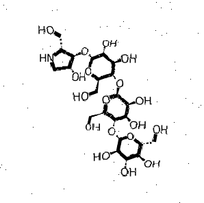 OC[C@H]1NC[C@@H](O)[C@@H]1O[C@H]1O[C@H](CO)[C@@H](O[C@@H]2O[C@H](CO)[C@@H](O[C@@H]3O[C@H](CO)[C@@H](O)[C@H](O)[C@H]3O)[C@H](O)[C@@H]2O)[C@H](O)[C@H]1O